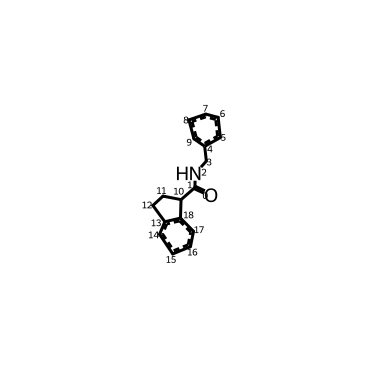 O=C(NCc1ccccc1)C1CCc2ccccc21